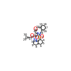 O=S(=O)(c1cccc2cccnc12)N1Cc2ccccc2COC[C@H]1COCC1CC1